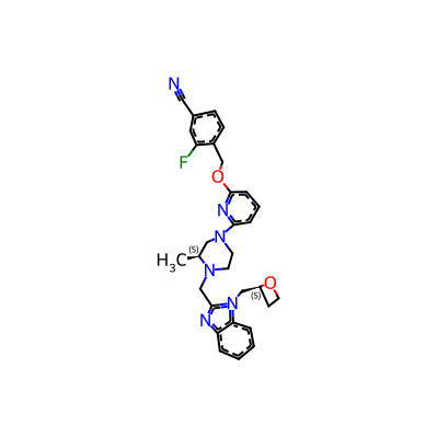 C[C@H]1CN(c2cccc(OCc3ccc(C#N)cc3F)n2)CCN1Cc1nc2ccccc2n1C[C@@H]1CCO1